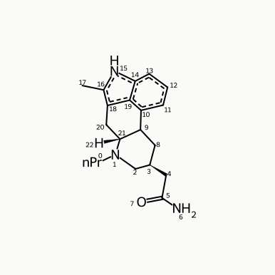 CCCN1C[C@H](CC(N)=O)CC2c3cccc4[nH]c(C)c(c34)C[C@H]21